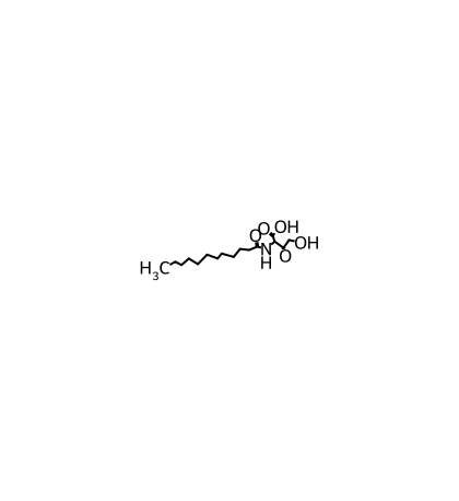 CCCCCCCCCCCC(=O)NC(C(=O)O)C(=O)CO